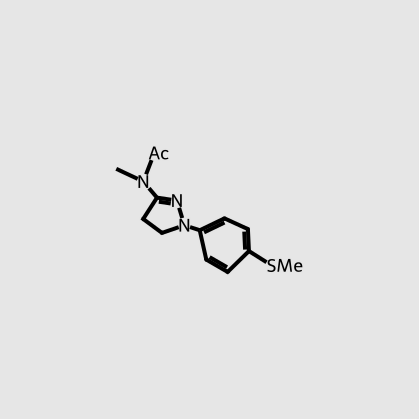 CSc1ccc(N2CCC(N(C)C(C)=O)=N2)cc1